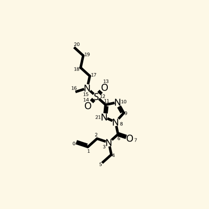 C=CCN(CC)C(=O)n1cnc(S(=O)(=O)N(C)CCCC)n1